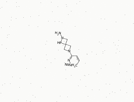 C/C=C\C(=N/NC)N1CC2(CN(N)P2)C1